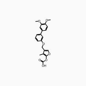 COc1ccc(-c2cccc(OCc3coc(OC(=O)O)c3C)c2)cc1OC